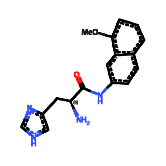 COc1cccc2ccc(NC(=O)[C@@H](N)Cc3c[nH]cn3)cc12